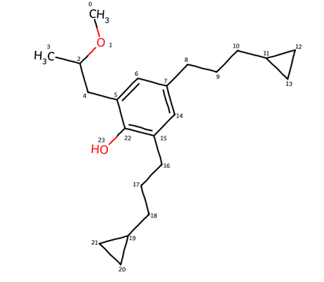 COC(C)Cc1cc(CCCC2CC2)cc(CCCC2CC2)c1O